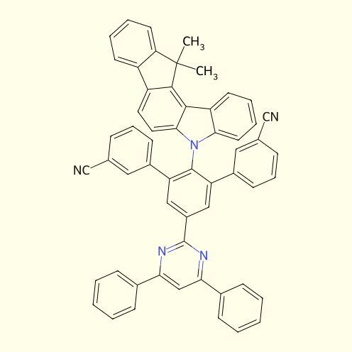 CC1(C)c2ccccc2-c2ccc3c(c21)c1ccccc1n3-c1c(-c2cccc(C#N)c2)cc(-c2nc(-c3ccccc3)cc(-c3ccccc3)n2)cc1-c1cccc(C#N)c1